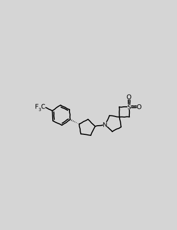 O=S1(=O)CC2(CCN(C3CC[C@H](c4ccc(C(F)(F)F)cc4)C3)C2)C1